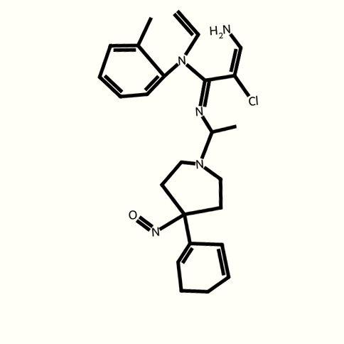 C=CN(C(=N/C(C)N1CCC(N=O)(C2=CCCC=C2)CC1)/C(Cl)=C\N)c1ccccc1C